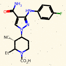 CCC1[C@H](C#N)[C@@H](n2cc(C(N)=O)c(Nc3ccc(F)cc3)n2)CCN1C(=O)O